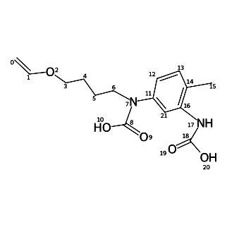 C=COCCCCN(C(=O)O)c1ccc(C)c(NC(=O)O)c1